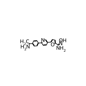 C=C(N)c1ccc(-c2ccc(-c3ccc(/C(N)=N\O)o3)cn2)cc1